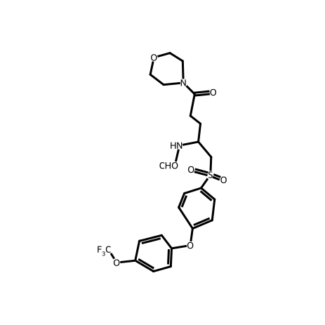 O=CNC(CCC(=O)N1CCOCC1)CS(=O)(=O)c1ccc(Oc2ccc(OC(F)(F)F)cc2)cc1